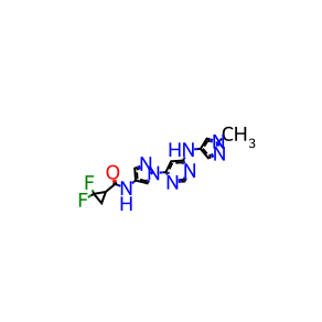 Cn1cc(Nc2cc(-n3cc(NC(=O)C4CC4(F)F)cn3)ncn2)cn1